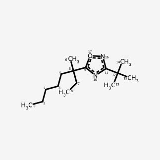 CCCCCC(C)(CC)c1nc(C(C)(C)C)no1